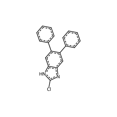 Clc1nc2cc(-c3ccccc3)c(-c3ccccc3)cc2[nH]1